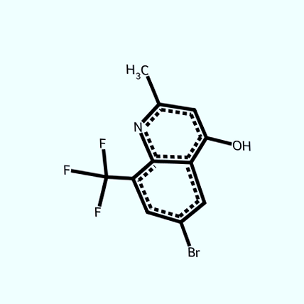 Cc1cc(O)c2cc(Br)cc(C(F)(F)F)c2n1